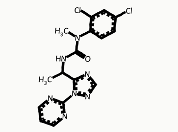 CC(NC(=O)N(C)c1ccc(Cl)cc1Cl)c1ncnn1-c1ncccn1